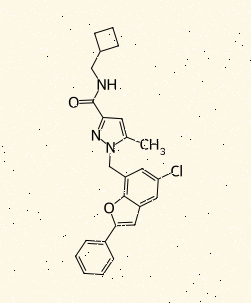 Cc1cc(C(=O)NCC2CCC2)nn1Cc1cc(Cl)cc2cc(-c3ccccc3)oc12